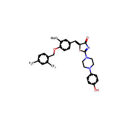 COc1cc(/C=C2\SC(N3CCN(c4ccc(O)cc4)CC3)=NC2=O)ccc1OCc1ccc(C(F)(F)F)cc1C(F)(F)F